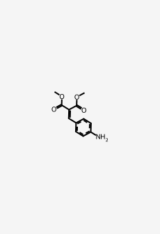 COC(=O)C(=Cc1ccc(N)cc1)C(=O)OC